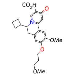 COCCCOc1cc2c(cc1OC)-c1cc(=O)c(C(=O)O)cn1C(C1CCC1)C2